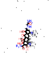 CN(C)c1cc(CNCC(N)=O)c(O)c2c1C[C@H]1C[C@H]3[C@H](N(C)C)C(O)=C(C(N)=O)C4(O)O[C@]34C(O)=C1C2=O